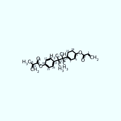 C=CC(=O)OC1=CC=C(C(C)(C)C(C)(C)c2ccc(OC(=O)C(=C)C)cc2)CC1